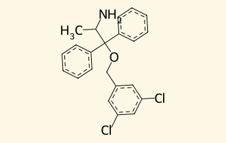 CC(N)C(OCc1cc(Cl)cc(Cl)c1)(c1ccccc1)c1ccccc1